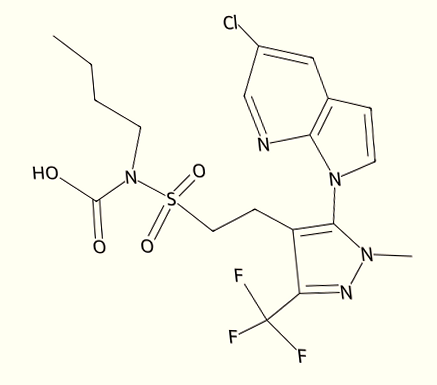 CCCCN(C(=O)O)S(=O)(=O)CCc1c(C(F)(F)F)nn(C)c1-n1ccc2cc(Cl)cnc21